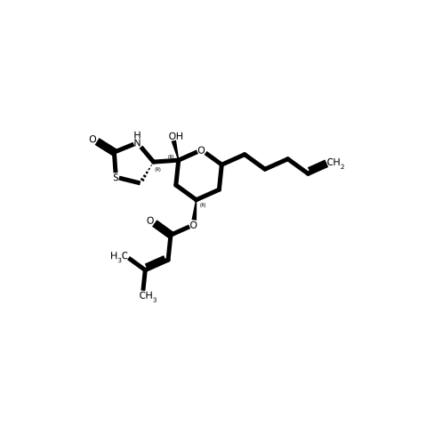 C=CCCCC1C[C@@H](OC(=O)C=C(C)C)C[C@](O)([C@@H]2CSC(=O)N2)O1